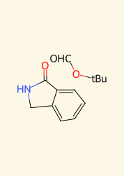 CC(C)(C)OC=O.O=C1NCc2ccccc21